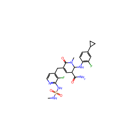 CNS(=O)(=O)Nc1nccc(CC2=CC(C(N)=O)C(Nc3ccc(C4CC4)cc3F)N(C)C2=O)c1F